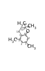 Cc1cc(C)c2c(c1)OC(C)(C)CC2